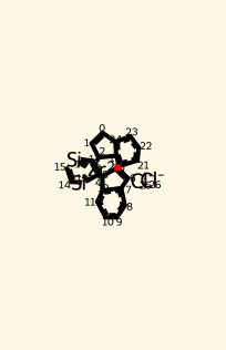 C1=C[CH]([Zr+2]2([CH]3C=Cc4ccccc43)=[Si]3C=C[Si]=2C=C3)c2ccccc21.[Cl-].[Cl-]